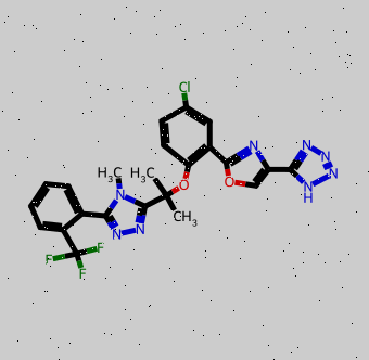 Cn1c(-c2ccccc2C(F)(F)F)nnc1C(C)(C)Oc1ccc(Cl)cc1-c1nc(-c2nnn[nH]2)co1